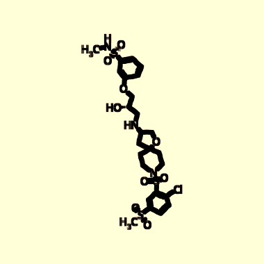 CNS(=O)(=O)c1cccc(OC[C@@H](O)CNC2COC3(CCN(S(=O)(=O)c4cc(S(C)(=O)=O)ccc4Cl)CC3)C2)c1